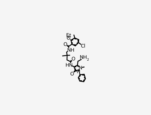 CCOc1c(C)cc(Cl)cc1C(=O)NCC(C)(C)CC(=O)Nc1c(CCN)n(C)n(-c2ccccc2)c1=O